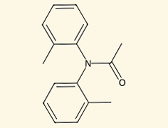 CC(=O)N(c1ccccc1C)c1ccccc1C